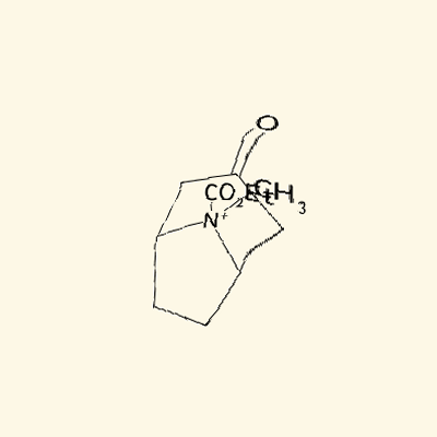 CCOC(=O)[N+]1(C)C2CCC1CC(=O)C2